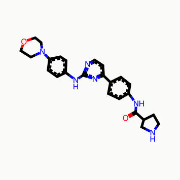 O=C(Nc1ccc(-c2ccnc(Nc3ccc(N4CCOCC4)cc3)n2)cc1)C1CCNC1